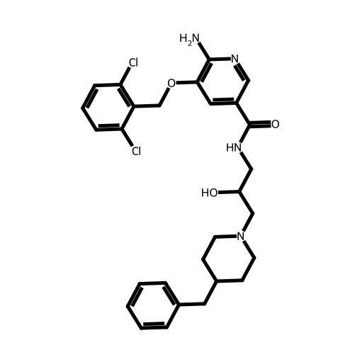 Nc1ncc(C(=O)NCC(O)CN2CCC(Cc3ccccc3)CC2)cc1OCc1c(Cl)cccc1Cl